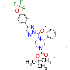 CC(C)(C)OC(=O)N1CCN(C(=O)n2ncc(-c3ccc(OC(F)(F)F)cc3)n2)C(c2ccccc2)C1